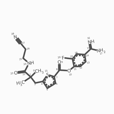 CC(C)(Cc1ccc(C(=O)Oc2ccc(C(=N)N)cc2F)s1)C(=O)NCCC#N